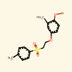 Cc1ccc(S(=O)(=O)CCOc2ccc(OBr)c(C(=O)O)c2)cc1